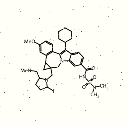 CNCC1CCC(I)N1CC12CC1c1cc(OC)ccc1-c1c(C3CCCCC3)c3ccc(C(=O)NS(=O)(=O)N(C)C)cc3n1C2